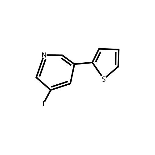 Ic1cncc(-c2cccs2)c1